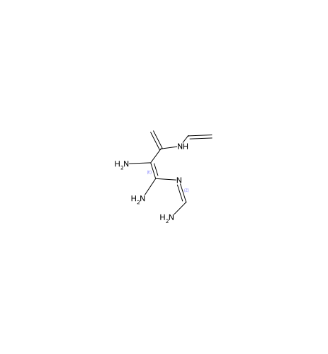 C=CNC(=C)/C(N)=C(N)\N=C/N